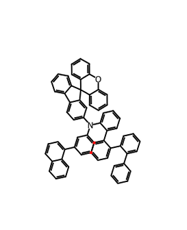 c1ccc(-c2ccccc2-c2ccccc2-c2ccccc2N(c2cccc(-c3cccc4ccccc34)c2)c2ccc3c(c2)C2(c4ccccc4Oc4ccccc42)c2ccccc2-3)cc1